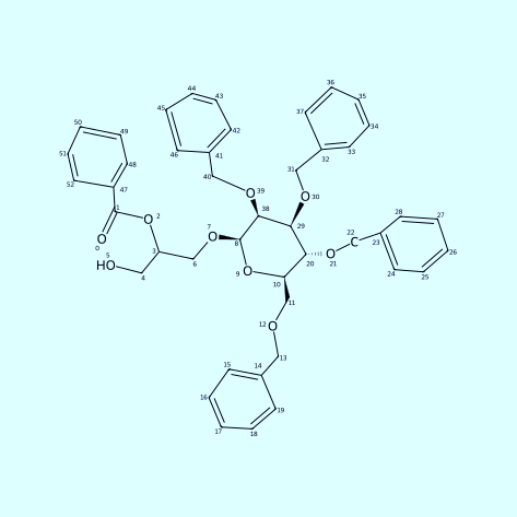 O=C(OC(CO)CO[C@@H]1O[C@H](COCc2ccccc2)[C@@H](OCc2ccccc2)[C@H](OCc2ccccc2)[C@@H]1OCc1ccccc1)c1ccccc1